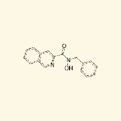 O=C(c1cc2ccccc2cn1)N(O)Cc1ccccc1